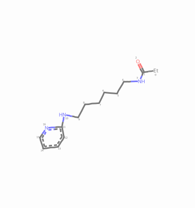 CCC(=O)NCCCCCCNc1ccccn1